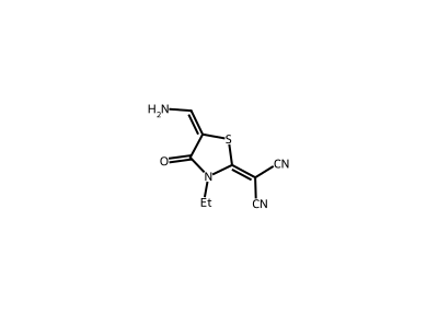 CCn1c(=C(C#N)C#N)s/c(=C/N)c1=O